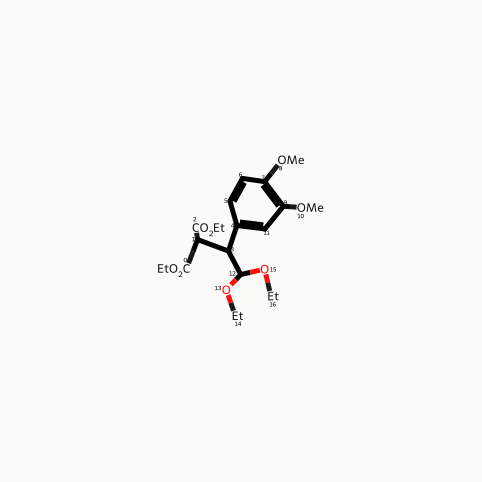 CCOC(=O)C(C(=O)OCC)C(c1ccc(OC)c(OC)c1)C(OCC)OCC